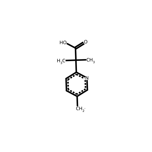 [CH2]c1ccc(C(C)(C)C(=O)O)nc1